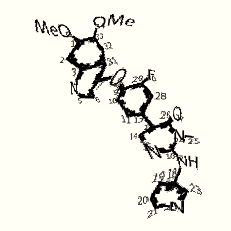 COc1cc2nccc(Oc3ccc(-c4cnc(Nc5cccnc5)n(C)c4=O)cc3F)c2cc1OC